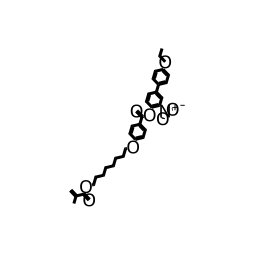 C=C(C)C(=O)OCCCCCCCCOc1ccc(C(=O)Oc2ccc(-c3ccc(OCC)cc3)cc2[N+](=O)[O-])cc1